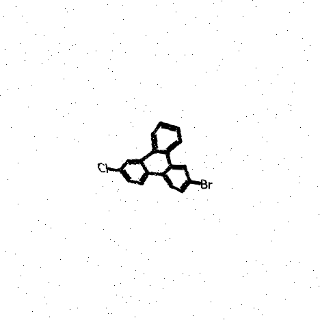 Clc1ccc2c3ccc(Br)cc3c3ccccc3c2c1